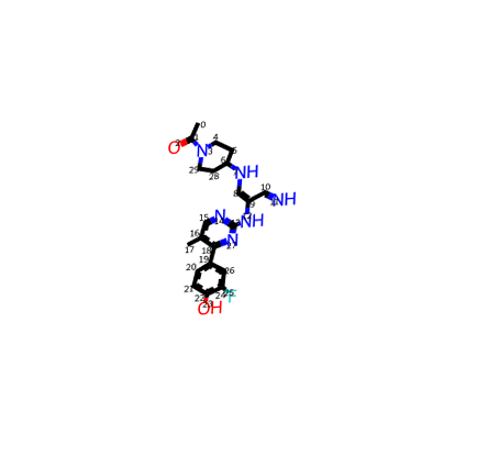 CC(=O)N1CCC(N/C=C(\C=N)Nc2ncc(C)c(-c3ccc(O)c(F)c3)n2)CC1